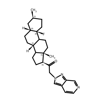 C[C@H]1CC[C@]2(F)C3CC[C@@]4(C)C(CC[C@@H]4C(=O)Cn4cc5ccncc5n4)[C@@H]3CC[C@@H]2C1